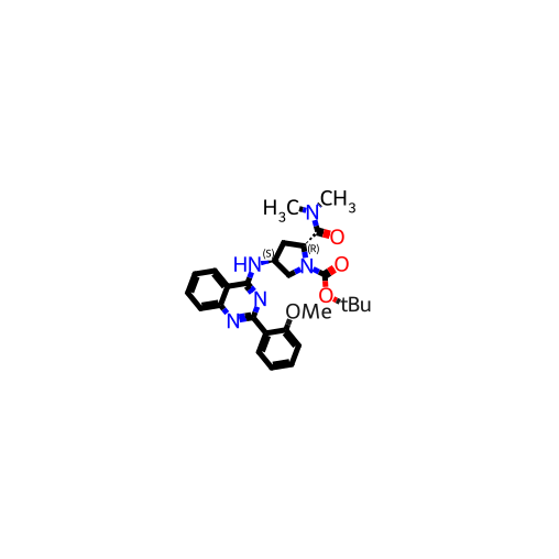 COc1ccccc1-c1nc(N[C@H]2C[C@H](C(=O)N(C)C)N(C(=O)OC(C)(C)C)C2)c2ccccc2n1